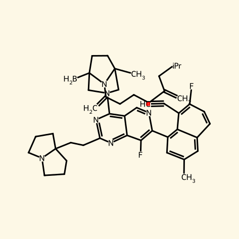 BC12CCC(C)(CN(c3nc(CCC45CCCN4CCC5)nc4c(F)c(-c5cc(C)cc6ccc(F)c(C#C)c56)ncc34)C1)N2C(=C)CCCC(=C)CC(C)C